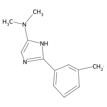 [CH2]c1cccc(-c2ncc(N(C)C)[nH]2)c1